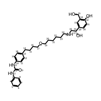 O=C(Nc1ccccc1)Nc1ccc(CCCCOCCCCCCNC[C@@H](O)c2ccc(O)c(CO)c2)cc1